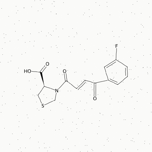 O=C(/C=C/C(=O)N1CSC[C@H]1C(=O)O)c1cccc(F)c1